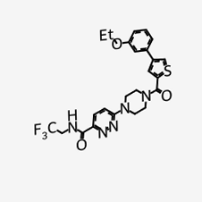 CCOc1cccc(-c2csc(C(=O)N3CCN(c4ccc(C(=O)NCC(F)(F)F)nn4)CC3)c2)c1